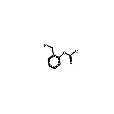 CC(=O)C(=O)Oc1ccccc1CBr